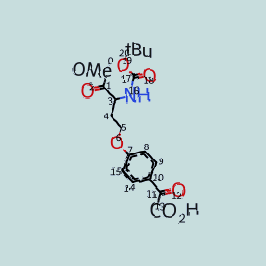 COC(=O)C(CCOc1ccc(C(=O)C(=O)O)cc1)NC(=O)OC(C)(C)C